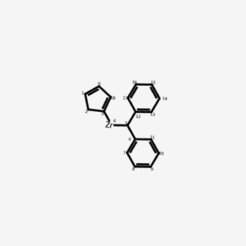 C1=CC[C]([Zr][CH](c2ccccc2)c2ccccc2)=C1